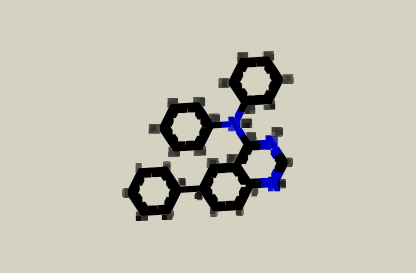 c1ccc(-c2ccc3ncnc(N(c4ccccc4)c4ccccc4)c3c2)cc1